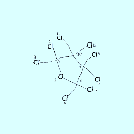 ClC1(Cl)OC(Cl)(Cl)C(Cl)(Cl)C1(Cl)Cl